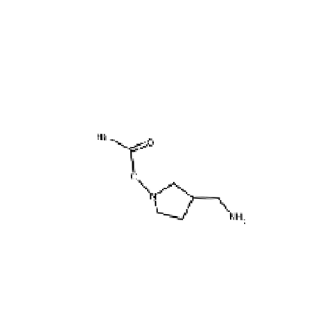 CC(C)(C)C(=O)ON1CCC(CN)C1